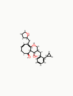 O=C1CCC=CC(CC2CCCO2)=C2OCC(Cc3ccccc3C3CC3)C(O)C12